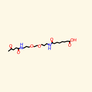 CC(=O)CCC(=O)NCCCOCCOCCCNC(=O)CCCCCCC(=O)O